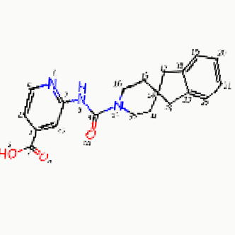 O=C(O)c1ccnc(NC(=O)N2CCC3(CC2)Cc2ccccc2C3)c1